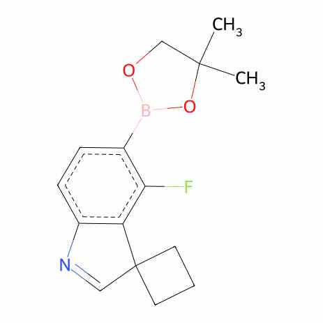 CC1(C)COB(c2ccc3c(c2F)C2(C=N3)CCC2)O1